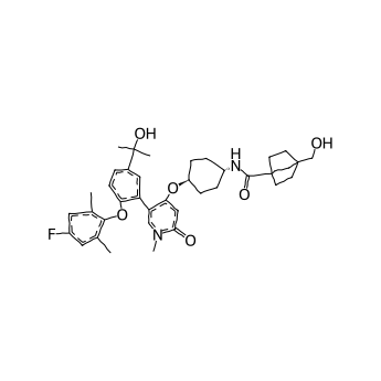 Cc1cc(F)cc(C)c1Oc1ccc(C(C)(C)O)cc1-c1cn(C)c(=O)cc1O[C@H]1CC[C@H](NC(=O)C23CCC(CO)(CC2)CC3)CC1